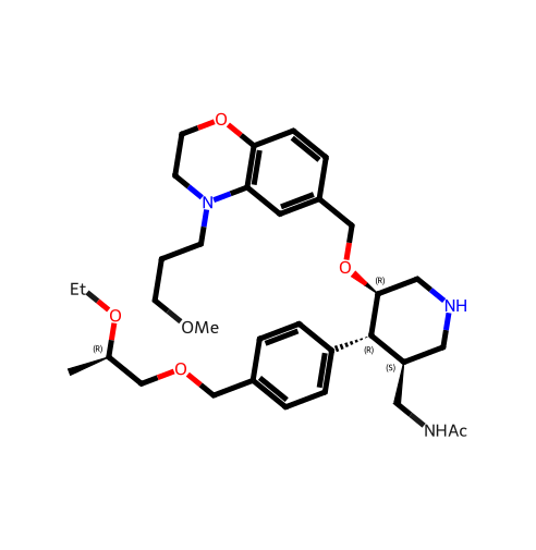 CCO[C@H](C)COCc1ccc([C@H]2[C@H](CNC(C)=O)CNC[C@@H]2OCc2ccc3c(c2)N(CCCOC)CCO3)cc1